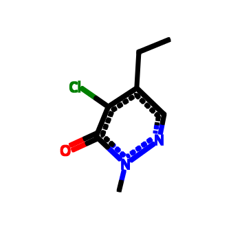 CCc1cnn(C)c(=O)c1Cl